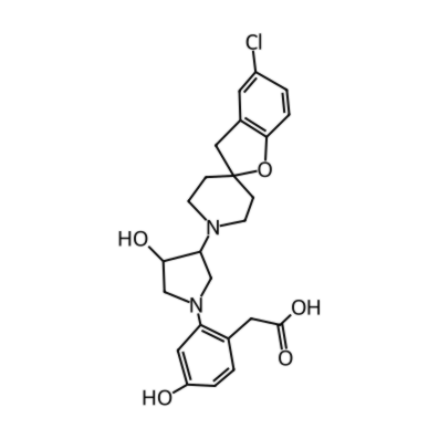 O=C(O)Cc1ccc(O)cc1N1CC(O)C(N2CCC3(CC2)Cc2cc(Cl)ccc2O3)C1